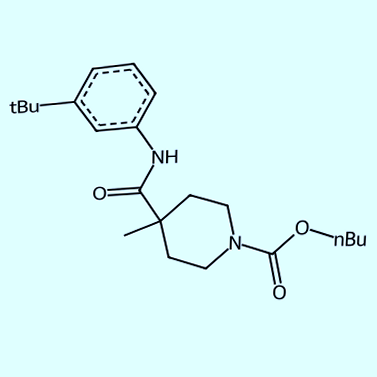 CCCCOC(=O)N1CCC(C)(C(=O)Nc2cccc(C(C)(C)C)c2)CC1